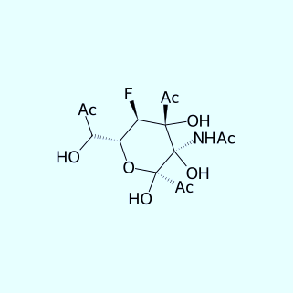 CC(=O)N[C@]1(O)[C@](O)(C(C)=O)O[C@H](C(O)C(C)=O)[C@@H](F)[C@@]1(O)C(C)=O